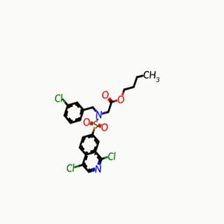 CCCCOC(=O)CN(Cc1cccc(Cl)c1)S(=O)(=O)c1ccc2c(Cl)cnc(Cl)c2c1